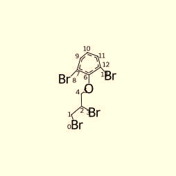 BrCC(Br)COc1c(Br)cccc1Br